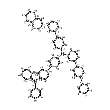 c1ccc(-c2ccc(-c3cccc(N(c4ccc(-c5cccc(-c6ccc7ccccc7c6)c5)cc4)c4ccc(-c5ccc6c(c5)c5ccccc5n6-c5ccccc5)cc4)c3)cc2)cc1